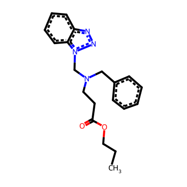 CCCOC(=O)CCN(Cc1ccccc1)Cn1nnc2ccccc21